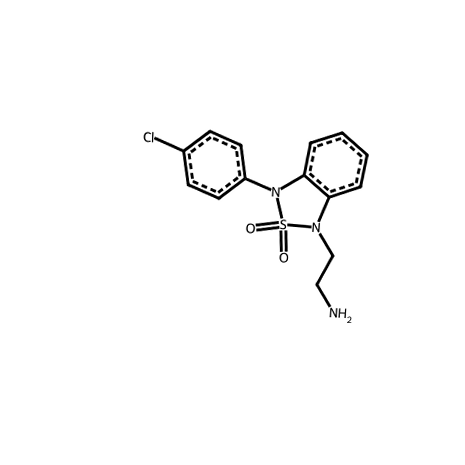 NCCN1c2ccccc2N(c2ccc(Cl)cc2)S1(=O)=O